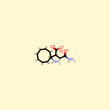 NC(=O)CC(C(=O)O)C1(N)CCCCCCC1